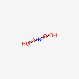 OCCOCC[N]CCOCCO